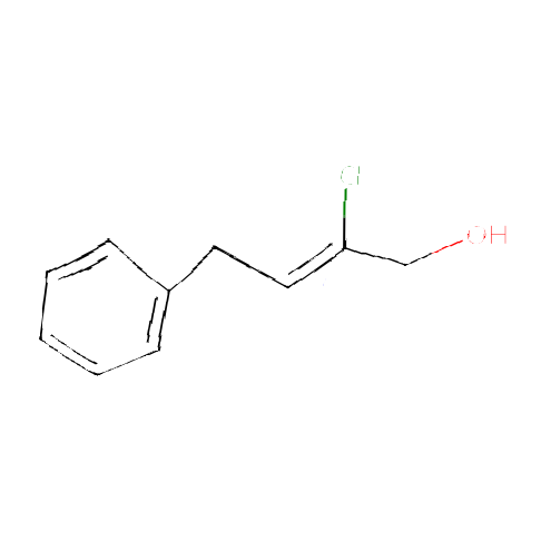 OC/C(Cl)=C/Cc1ccccc1